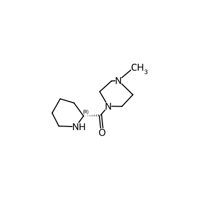 CN1CCN(C(=O)[C@H]2CCCCN2)CC1